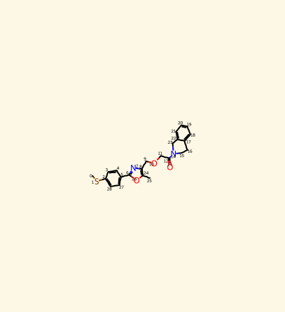 CSc1ccc(-c2nc(COCC(=O)N3CCc4ccccc4C3)c(C)o2)cc1